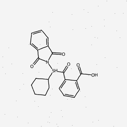 O=C(O)c1ccccc1C(=O)[SH](C1CCCCC1)N1C(=O)c2ccccc2C1=O